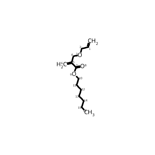 C=CCOCC(=C)C(=O)OCCCCCCC